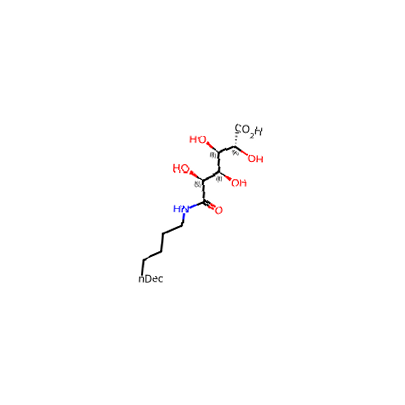 CCCCCCCCCCCCCCNC(=O)[C@@H](O)[C@H](O)[C@@H](O)[C@@H](O)C(=O)O